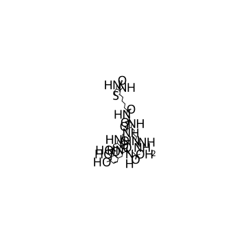 N=C(N)NCCCC(NC(=O)CNC(=O)CCCCC1SCC2NC(=O)NC21)C(=O)NCC(=O)NC(CC(=O)O)C(=O)NC(Cc1ccc(O)c(O)c1)C(=O)NCC(=O)O